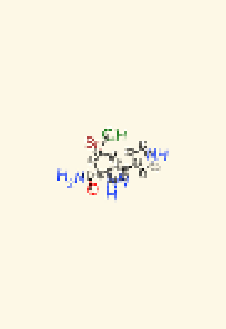 Cl.NC(=O)c1cc(Br)cc2c(C3CCNCC3)n[nH]c12